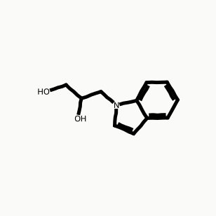 OCC(O)Cn1ccc2ccccc21